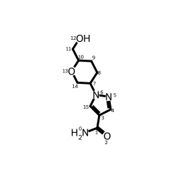 NC(=O)c1cnn(C2CCC(CO)OC2)c1